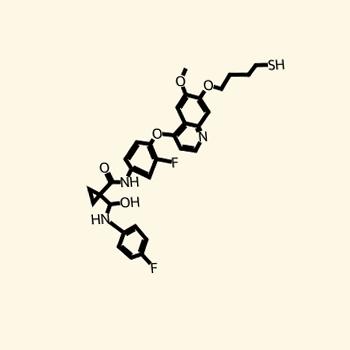 COc1cc2c(Oc3ccc(NC(=O)C4(C(O)Nc5ccc(F)cc5)CC4)cc3F)ccnc2cc1OCCCCS